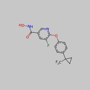 O=C(NO)c1cnc(Oc2ccc(C3(C(F)(F)F)CC3)cc2)c(F)c1